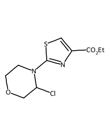 CCOC(=O)c1csc(N2CCOCC2Cl)n1